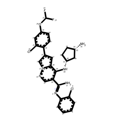 N/C(=N\c1ccccc1Cl)c1cnn2cc(-c3ccc(OC(F)F)cc3Cl)cc2c1N[C@@H]1CC[C@H](N)C1